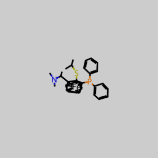 CC(C)S[C]12[C]3(C(C)N(C)C)[CH]4[CH]5[C]1(P(c1ccccc1)c1ccccc1)[Fe]45321678[CH]2[CH]1[CH]6[CH]7[CH]28